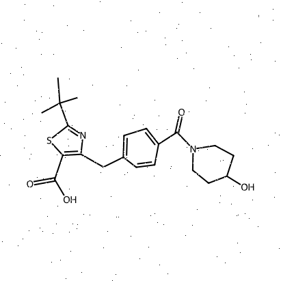 CC(C)(C)c1nc(Cc2ccc(C(=O)N3CCC(O)CC3)cc2)c(C(=O)O)s1